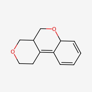 C1=CC2=C3CCOCC3COC2C=C1